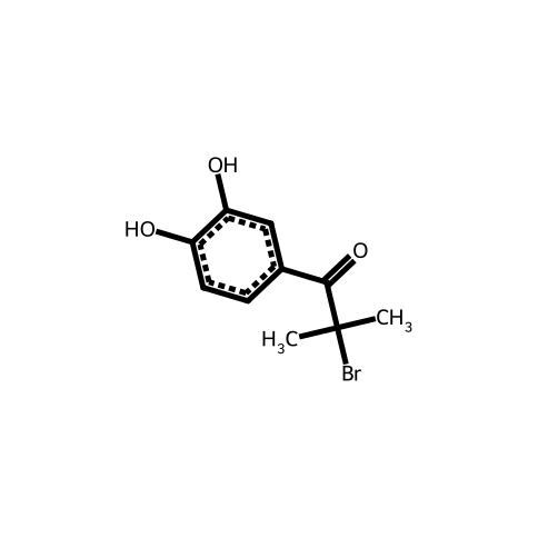 CC(C)(Br)C(=O)c1ccc(O)c(O)c1